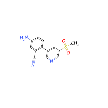 CS(=O)(=O)c1cncc(-c2ccc(N)cc2C#N)c1